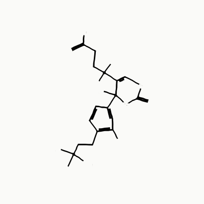 CC(C)(C)CCc1ccc(C2(C)NC(=O)NC=C2C(C)(C)CCC(=O)O)cc1Cl